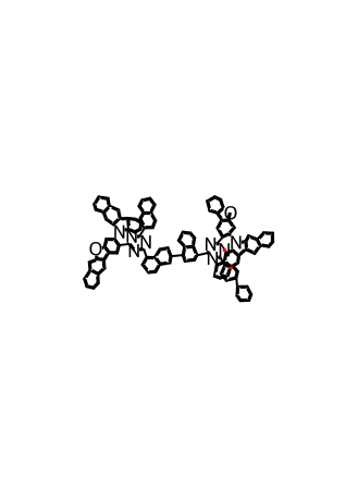 c1ccc(-c2ccc(-c3nc(-c4cc5c(cc4-n4c6cc7ccccc7cc6c6cc7ccccc7cc64)oc4ccccc45)nc(-c4ccc(-c5ccc6c(-c7nc(-c8ccc9ccccc9c8)nc(-c8cc9c(cc8-n8c%10ccccc%10c%10cc%11ccccc%11cc%108)oc8cc%10ccccc%10cc89)n7)cccc6c5)c5ccccc45)n3)cc2)cc1